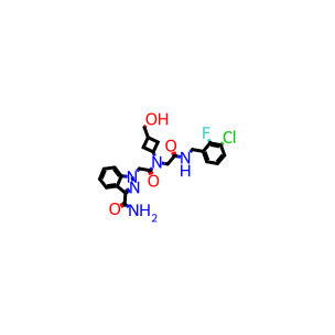 NC(=O)c1nn(CC(=O)N(CC(=O)NCc2cccc(Cl)c2F)C2CC(CO)C2)c2ccccc12